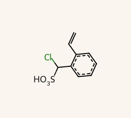 C=Cc1ccccc1C(Cl)S(=O)(=O)O